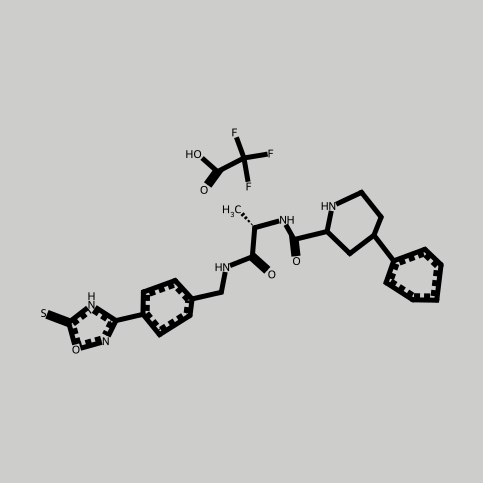 C[C@H](NC(=O)C1CC(c2ccccc2)CCN1)C(=O)NCc1ccc(-c2noc(=S)[nH]2)cc1.O=C(O)C(F)(F)F